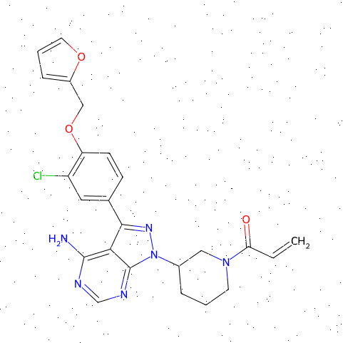 C=CC(=O)N1CCCC(n2nc(-c3ccc(OCc4ccco4)c(Cl)c3)c3c(N)ncnc32)C1